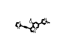 COc1cc(-c2cnn(C)c2)cn2ncc(C#Cc3nccs3)c12